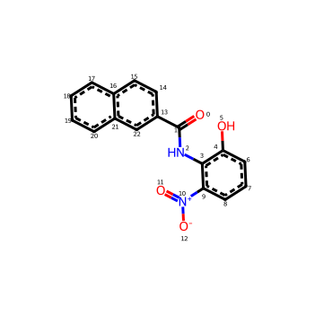 O=C(Nc1c(O)cccc1[N+](=O)[O-])c1ccc2ccccc2c1